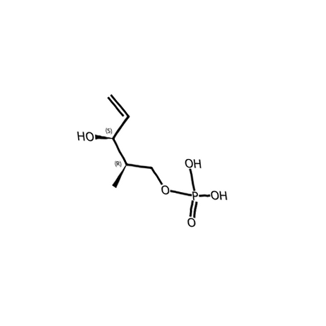 C=C[C@H](O)[C@H](C)COP(=O)(O)O